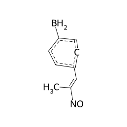 Bc1ccc(C=C(C)N=O)cc1